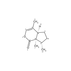 CC1=COC(=O)[C@@]2(C)[C@@H]1CC[C@@H]2C